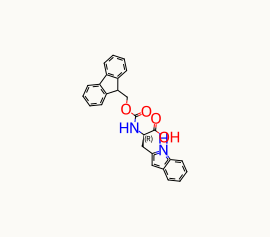 O=C(N[C@H](Cc1cc2ccccc2[nH]1)C(=O)O)OCC1c2ccccc2-c2ccccc21